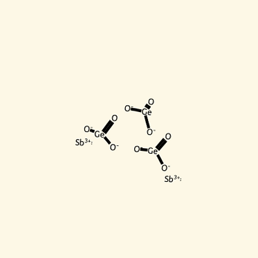 [O]=[Ge]([O-])[O-].[O]=[Ge]([O-])[O-].[O]=[Ge]([O-])[O-].[Sb+3].[Sb+3]